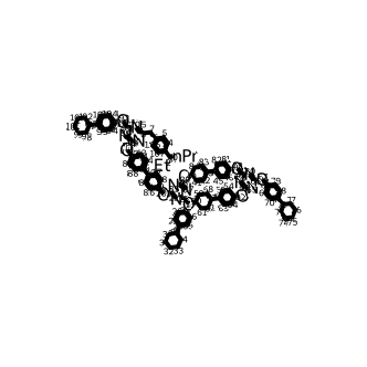 CCCC(CC)c1ccc(Cc2nc(Oc3ccc(-c4ccc(Oc5nc(Oc6ccc(C7CCCCC7)cc6)nc(O[C@H]6C=CC(c7ccc(Oc8nc(Oc9ccc(C%10CCCCC%10)cc9)nc(Oc9ccc(C%10CCCCC%10)cc9)n8)cc7)=CC6)n5)cc4)cc3)nc(Oc3ccc(C4CCCCC4)cc3)n2)cc1